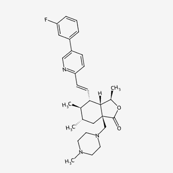 C[C@H]1[C@H](/C=C/c2ccc(-c3cccc(F)c3)cn2)[C@@H]2[C@@H](C)OC(=O)[C@]2(CN2CCN(C)CC2)C[C@@H]1C